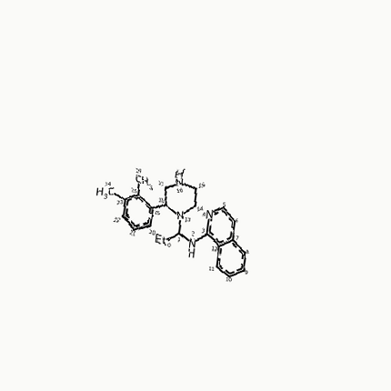 CCC(Nc1nccc2ccccc12)N1CCNCC1c1cccc(C)c1C